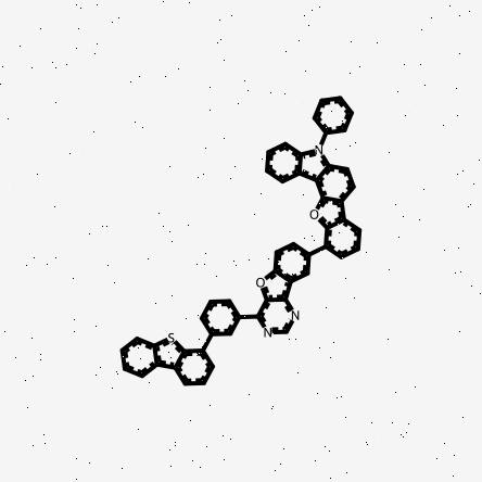 c1ccc(-n2c3ccccc3c3c4oc5c(-c6ccc7oc8c(-c9cccc(-c%10cccc%11c%10sc%10ccccc%10%11)c9)ncnc8c7c6)cccc5c4ccc32)cc1